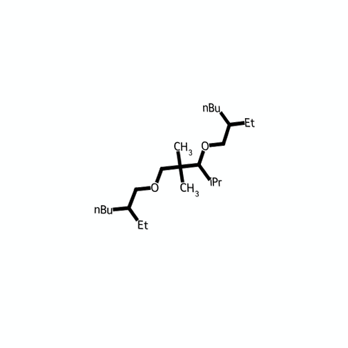 CCCCC(CC)COCC(C)(C)C(OCC(CC)CCCC)C(C)C